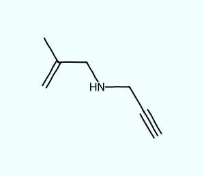 C#CCNCC(=C)C